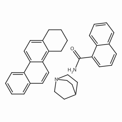 C1CN2CCC1CC2.NC(=O)c1cccc2ccccc12.c1ccc2c(c1)ccc1c3c(ccc12)CCCC3